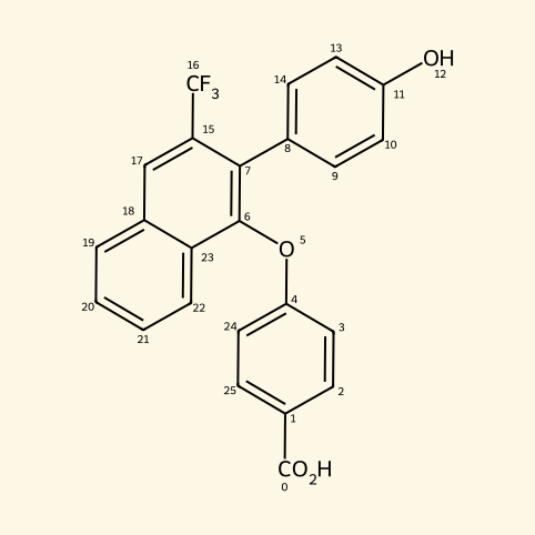 O=C(O)c1ccc(Oc2c(-c3ccc(O)cc3)c(C(F)(F)F)cc3ccccc23)cc1